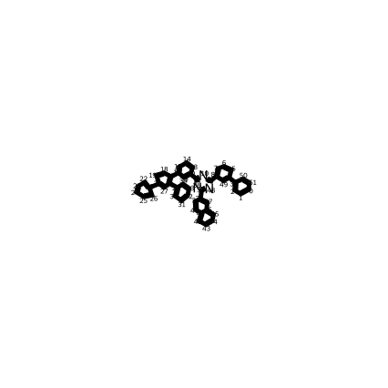 c1ccc(-c2cccc(-c3nc(-c4cccc(-c5ccc(-c6ccccc6)cc5-c5ccccc5)c4)nc(-c4ccc5ccccc5c4)n3)c2)cc1